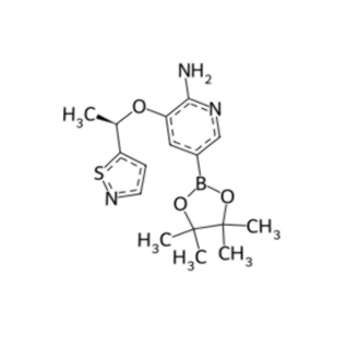 C[C@@H](Oc1cc(B2OC(C)(C)C(C)(C)O2)cnc1N)c1ccns1